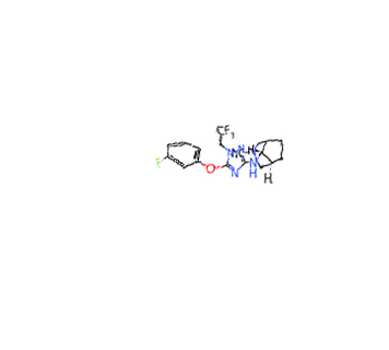 N#CN1CC2CC[C@@H](C1)[C@@H]2Nc1nc(Oc2cccc(F)c2)n(CC(F)(F)F)n1